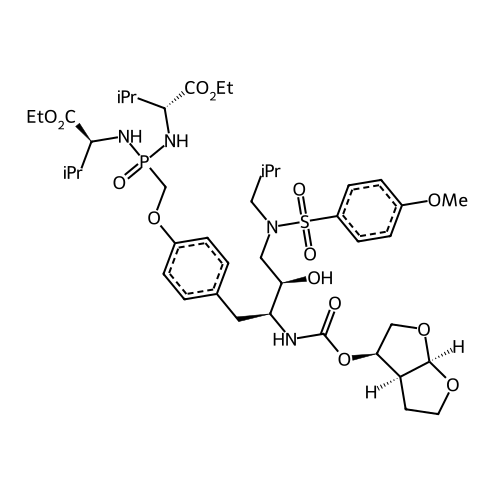 CCOC(=O)[C@@H](NP(=O)(COc1ccc(C[C@H](NC(=O)O[C@H]2CO[C@H]3OCC[C@H]32)[C@H](O)CN(CC(C)C)S(=O)(=O)c2ccc(OC)cc2)cc1)N[C@@H](C(=O)OCC)C(C)C)C(C)C